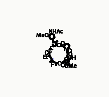 CCC1/C=C(\C)C(F)C(C)CC(OC)C2OC(O)(C(=O)C(=O)N3CCCCC3C(=O)OC(C(C)=CC3CCC(NC(C)=O)C(OC)C3)C(C)CCC1=O)C(C)CC2OC